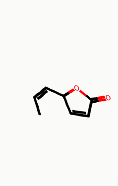 C/C=C\C1C=CC(=O)O1